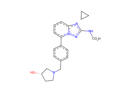 C1CC1.O=C(O)Nc1nc2cccc(-c3ccc(CN4CC[C@H](O)C4)cc3)n2n1